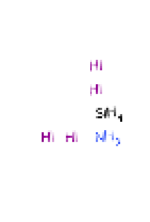 I.I.I.I.N.[SiH4]